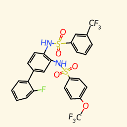 O=S(=O)(Nc1ccc(-c2ccccc2F)cc1NS(=O)(=O)c1ccc(OC(F)(F)F)cc1)c1cccc(C(F)(F)F)c1